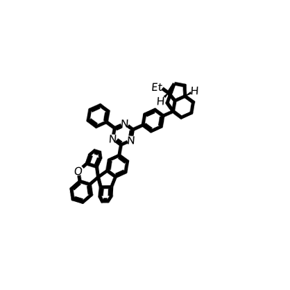 CC[C@@H]1C2C[C@@H]3CCCC(c4ccc(-c5nc(-c6ccccc6)nc(-c6ccc7c(c6)C6(c8ccccc8Oc8ccccc86)c6ccccc6-7)n5)cc4)(C2)C31